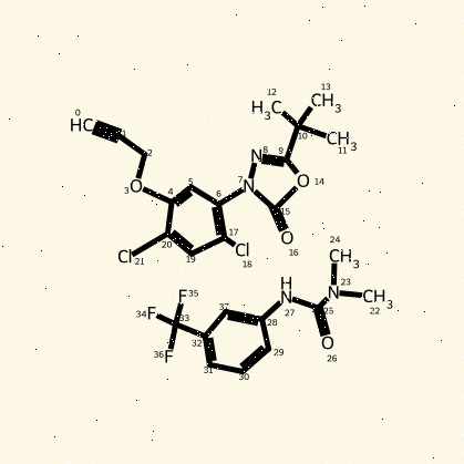 C#CCOc1cc(-n2nc(C(C)(C)C)oc2=O)c(Cl)cc1Cl.CN(C)C(=O)Nc1cccc(C(F)(F)F)c1